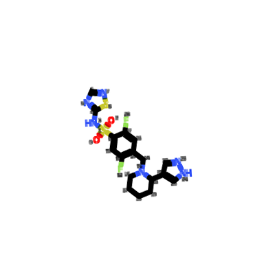 O=S(=O)(Nc1ncns1)c1cc(F)c(CN2CCCCC2c2cn[nH]c2)cc1F